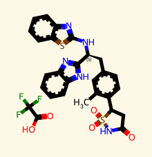 Cc1cc(C[C@H](Nc2nc3ccccc3s2)c2nc3ccccc3[nH]2)ccc1C1CC(=O)NS1(=O)=O.O=C(O)C(F)(F)F